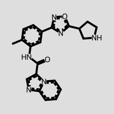 Cc1ccc(-c2noc(C3CCNC3)n2)cc1NC(=O)c1cnc2ccccn12